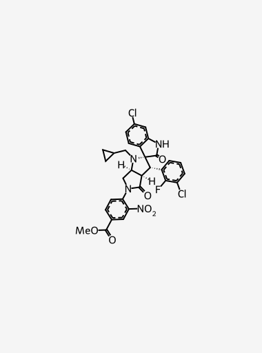 COC(=O)c1ccc(N2C[C@@H]3[C@H](C2=O)[C@@H](c2cccc(Cl)c2F)[C@@]2(C(=O)Nc4cc(Cl)ccc42)N3CC2CC2)c([N+](=O)[O-])c1